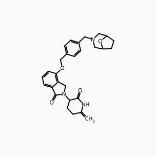 C=C1CCC(N2Cc3c(OCc4ccc(CN5CC6CCC(C5)O6)cc4)cccc3C2=O)C(=O)N1